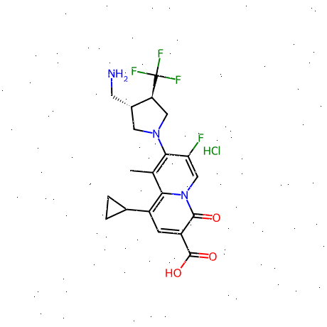 Cc1c(N2C[C@H](CN)[C@@H](C(F)(F)F)C2)c(F)cn2c(=O)c(C(=O)O)cc(C3CC3)c12.Cl